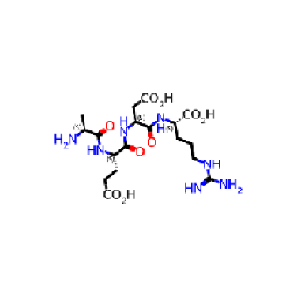 C[C@H](N)C(=O)N[C@@H](CCC(=O)O)C(=O)N[C@@H](CC(=O)O)C(=O)N[C@@H](CCCNC(=N)N)C(=O)O